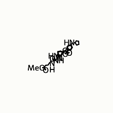 COC(=O)CCCNC(=O)Nc1nc2cc(OS(=O)(=O)c3ccc(NC4CCCC4)cc3)ccc2[nH]1